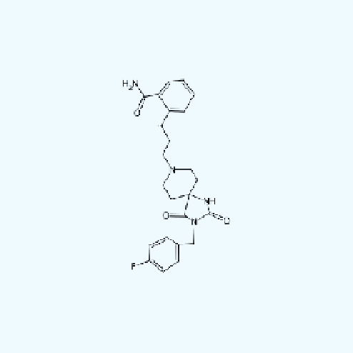 NC(=O)c1ccccc1[CH]CCN1CCC2(CC1)NC(=O)N(Cc1ccc(F)cc1)C2=O